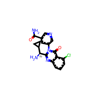 NC(=O)c1cncc(-n2c([C@@H](N)C3CC3)nc3cccc(Cl)c3c2=O)c1